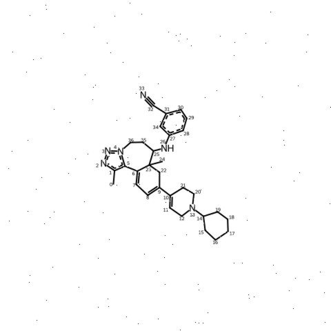 Cc1nnn2c1C1=CC=C(C3=CCN(C4CCCCC4)CC3)CC1(C)C(Nc1cccc(C#N)c1)CC2